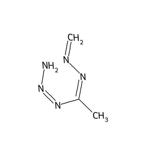 C=N/N=C(C)\N=N/N